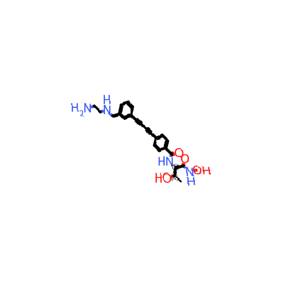 C[C@@H](O)[C@H](NC(=O)c1ccc(C#CC#Cc2cccc(CNCCN)c2)cc1)C(=O)NO